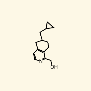 OCc1nccc2c1CCC(CC1CC1)C2